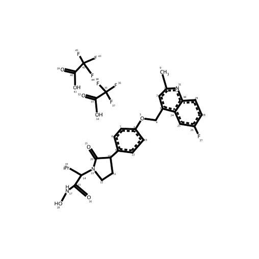 Cc1cc(COc2ccc(C3CCN(C(C(=O)NO)C(C)C)C3=O)cc2)c2cc(F)ccc2n1.O=C(O)C(F)(F)F.O=C(O)C(F)(F)F